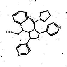 O=C(C1C(c2ccncc2)OC(c2ccncc2)N1C(CO)c1ccccc1)N1CCCC1